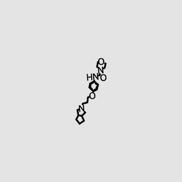 O=C(Nc1ccc(OCCCN2CC3CCCC3C2)cc1)N1CCOCC1